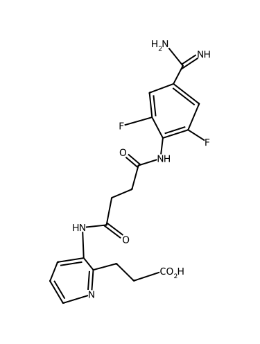 N=C(N)c1cc(F)c(NC(=O)CCC(=O)Nc2cccnc2CCC(=O)O)c(F)c1